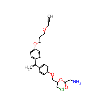 C#CCOCCCOc1ccc(C(=C)c2ccc(OCC(CCl)OC(=O)CN)cc2)cc1